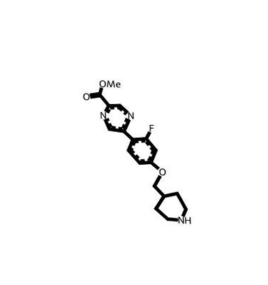 COC(=O)c1cnc(-c2ccc(OCC3CCNCC3)cc2F)cn1